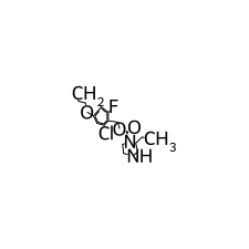 C=CCOc1cc(F)c(COC(=O)N2CCNCC2CC)c(Cl)c1